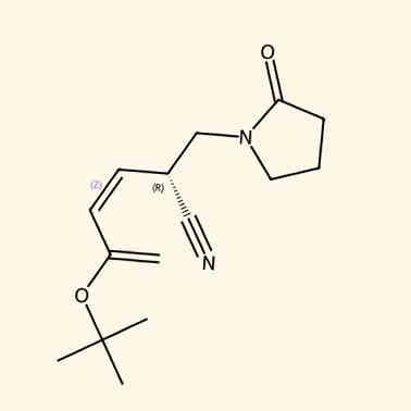 C=C(/C=C\[C@@H](C#N)CN1CCCC1=O)OC(C)(C)C